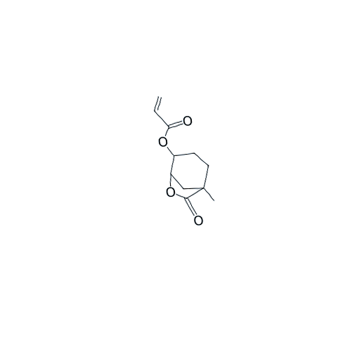 C=CC(=O)OC1CCC2(C)CC1OC2=O